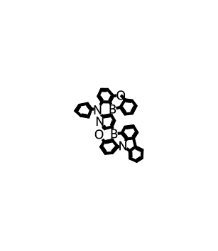 c1ccc(N2c3cccc4c3B(c3ccccc3O4)c3cc4c(nc32)Oc2cccc3c2B4c2cccc4c5ccccc5n-3c24)cc1